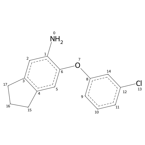 Nc1cc2c(cc1Oc1cccc(Cl)c1)CCC2